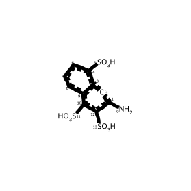 Nc1cc2c(S(=O)(=O)O)cccc2c(S(=O)(=O)O)c1S(=O)(=O)O